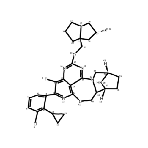 Fc1c(-c2cccc(Cl)c2C2CC2)nc2c3c(nc(OC[C@@]45CCCN4C[C@H](F)C5)nc13)N1C[C@@H]3CC[C@@H](N3)C1CO2